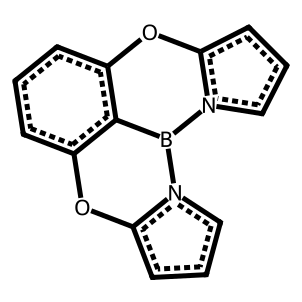 c1cc2c3c(c1)Oc1cccn1B3n1cccc1O2